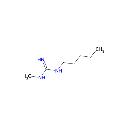 CCCCCNC(=N)NC